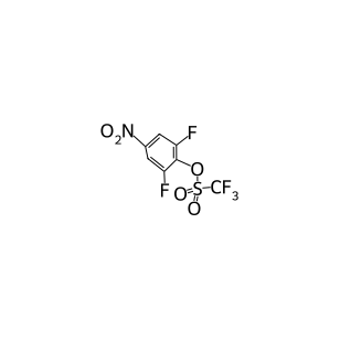 O=[N+]([O-])c1cc(F)c(OS(=O)(=O)C(F)(F)F)c(F)c1